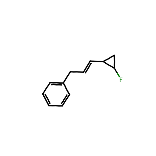 FC1CC1C=CCc1ccccc1